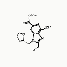 COC(=O)c1cc(OC)c2nc(CCl)n(C[C@@H]3CCCO3)c2c1